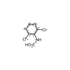 O=C(O)Nc1c(Cl)ncnc1Cl